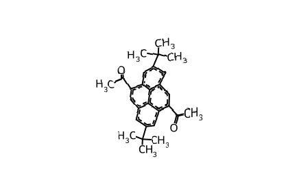 CC(=O)c1cc2cc(C(C)(C)C)cc3c(C(C)=O)cc4cc(C(C)(C)C)cc1c4c23